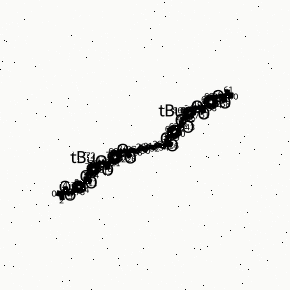 C=C(C)C(=O)Oc1ccc(C(=O)Oc2ccc(OC(=O)c3ccc(OC(=O)CCCCCCCCC(=O)Oc4ccc(C(=O)Oc5ccc(OC(=O)c6ccc(OC(=O)C(=C)C)cc6)cc5C(C)(C)C)cc4)cc3)c(C(C)(C)C)c2)cc1